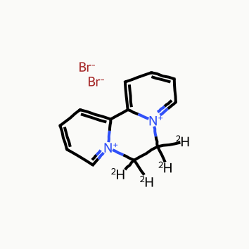 [2H]C1([2H])[n+]2ccccc2-c2cccc[n+]2C1([2H])[2H].[Br-].[Br-]